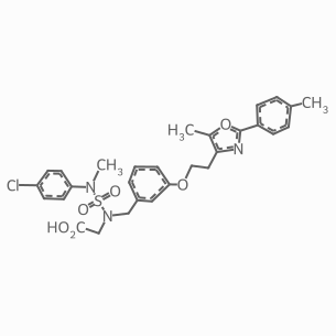 Cc1ccc(-c2nc(CCOc3cccc(CN(CC(=O)O)S(=O)(=O)N(C)c4ccc(Cl)cc4)c3)c(C)o2)cc1